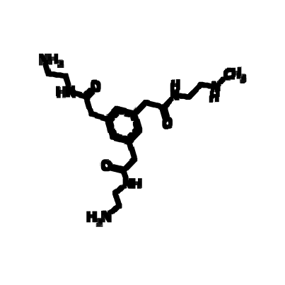 CNCCNC(=O)Cc1cc(CC(=O)NCCN)cc(CC(=O)NCCN)c1